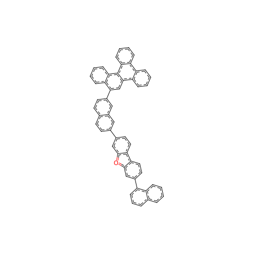 c1ccc2c(-c3ccc4c(c3)oc3cc(-c5ccc6ccc(-c7cc8c9ccccc9c9ccccc9c8c8ccccc78)cc6c5)ccc34)cccc2c1